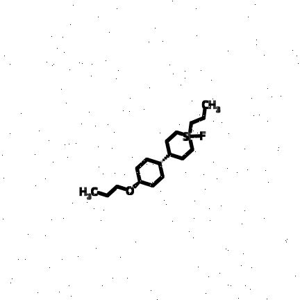 CCCO[C@H]1CC[C@H](C2CC[Si](F)(CCC)CC2)CC1